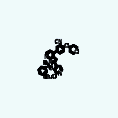 CC(C)(C)Oc1cc(-c2cc3c(-c4ccc(OC5CCOCC5)c(C#N)c4)ccnc3n2S(=O)(=O)c2ccccc2)ccn1